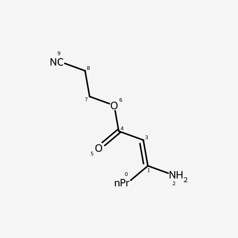 CCC/C(N)=C\C(=O)OCCC#N